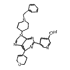 Oc1cncc(-c2nc(C3=CCOCC3)c3ncn(C4CCN(Cc5ccccc5)CC4)c3n2)c1